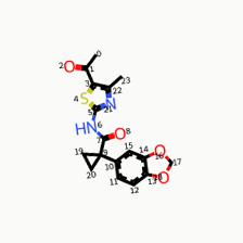 CC(=O)c1sc(NC(=O)C2(c3ccc4c(c3)OCO4)CC2)nc1C